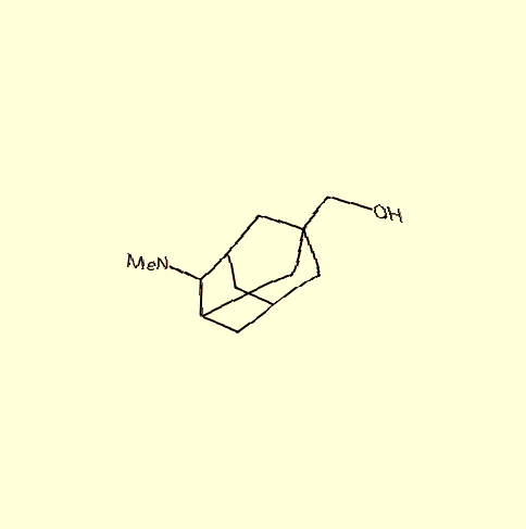 CNC1C2CC3CC1CC(CO)(C3)C2